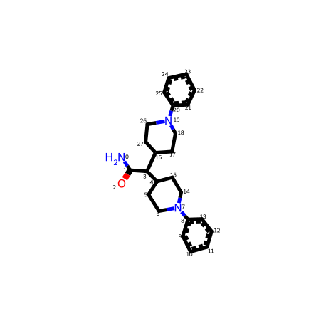 NC(=O)C(C1CCN(c2ccccc2)CC1)C1CCN(c2ccccc2)CC1